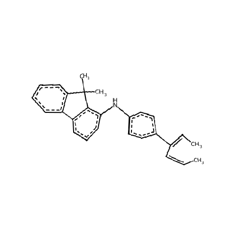 C/C=C\C(=C/C)c1ccc(Nc2cccc3c2C(C)(C)c2ccccc2-3)cc1